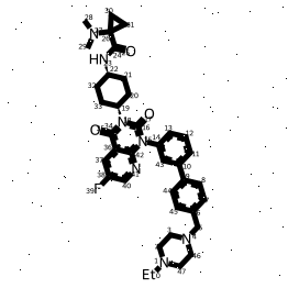 CCN1CCN(Cc2ccc(-c3cccc(-n4c(=O)n([C@H]5CC[C@@H](NC(=O)C6(N(C)C)CC6)CC5)c(=O)c5cc(F)cnc54)c3)cc2)CC1